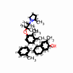 [2H]C(C)(Oc1ccc([C@@H]2c3cc(C)c(O)cc3CC[C@@H]2c2ccccc2C)c(C)c1C)C([2H])([2H])N1CCCC1C